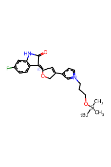 CC(C)(C)[Si](C)(C)OCCCn1ccc(C2=C/C(=C3\C(=O)Nc4cc(F)ccc43)OC2)c1